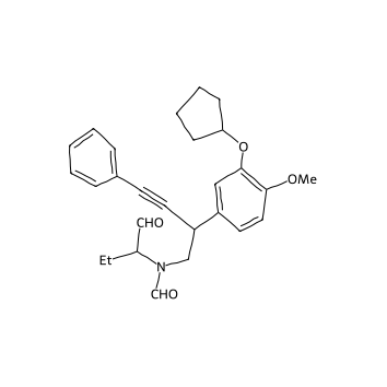 CCC(C=O)N(C=O)CC(C#Cc1ccccc1)c1ccc(OC)c(OC2CCCC2)c1